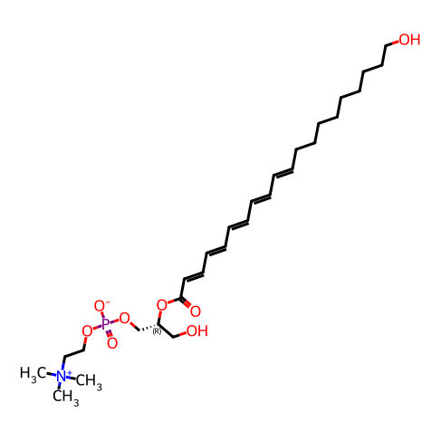 C[N+](C)(C)CCOP(=O)([O-])OC[C@@H](CO)OC(=O)C=CC=CC=CC=CC=CCCCCCCCCCO